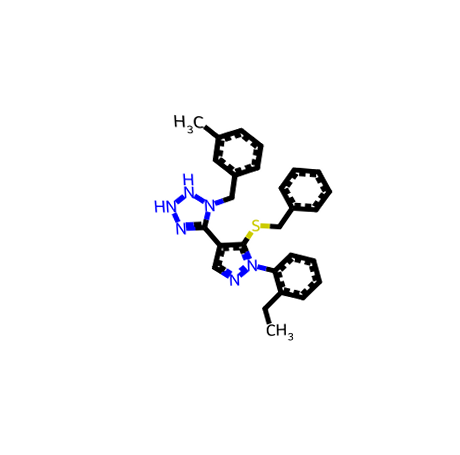 CCc1ccccc1-n1ncc(C2=NNNN2Cc2cccc(C)c2)c1SCc1ccccc1